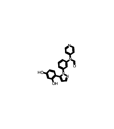 O=CN(c1ccncc1)c1cccc(-n2nccc2-c2ccc(O)cc2O)c1